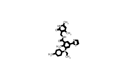 CCN(c1cc(-c2nccs2)cc(C(=O)NCc2c(C)cc(C)[nH]c2=O)c1C)C1CCC(N)CC1